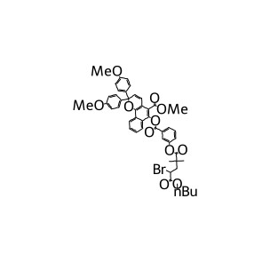 CCCCOC(=O)C(Br)CC(C)(C)C(=O)Oc1cccc(C(=O)Oc2c(C(=O)OC)c3c(c4ccccc24)OC(c2ccc(OC)cc2)(c2ccc(OC)cc2)C=C3)c1